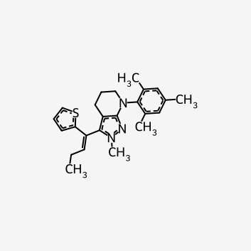 CCC=C(c1cccs1)c1c2c(nn1C)N(c1c(C)cc(C)cc1C)CCC2